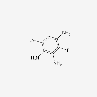 Nc1cc(N)c(F)c(N)c1N